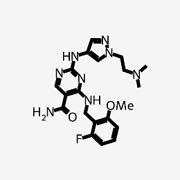 COc1cccc(F)c1CNc1nc(Nc2cnn(CCN(C)C)c2)ncc1C(N)=O